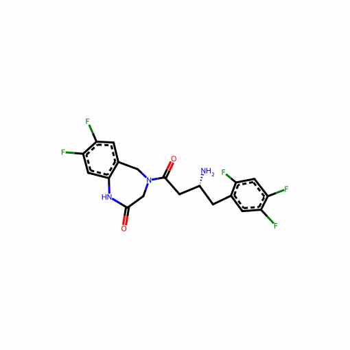 N[C@@H](CC(=O)N1CC(=O)Nc2cc(F)c(F)cc2C1)Cc1cc(F)c(F)cc1F